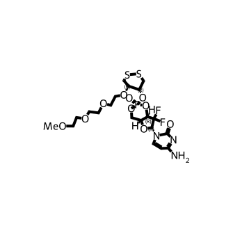 COCCOCCOCCO[C@H]1CSSC[C@@H]1OP1(=O)OC[C@H]2O[C@@H](n3ccc(N)nc3=O)C(F)(F)[C@@H]2O1